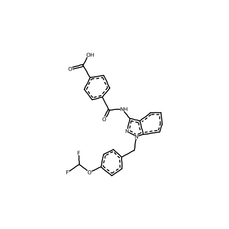 O=C(O)c1ccc(C(=O)Nc2nn(Cc3ccc(OC(F)F)cc3)c3ccccc23)cc1